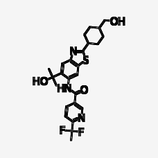 CC(C)(O)c1cc2nc(C3CCC(CO)CC3)sc2cc1NC(=O)c1ccc(C(C)(F)F)nc1